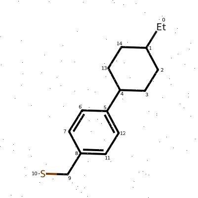 CCC1CCC(c2ccc(C[S])cc2)CC1